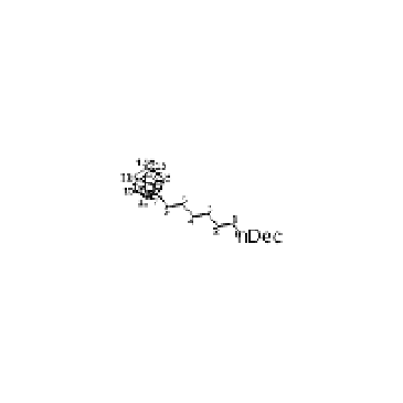 CCCCCCCCCCCCCCCC[C]12[CH]3[CH]4[CH]5[CH]1[Fe]45321678[CH]2[CH]1[CH]6[CH]7[CH]28